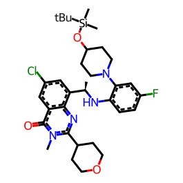 C[C@@H](Nc1ccc(F)cc1N1CCC(O[Si](C)(C)C(C)(C)C)CC1)c1cc(Cl)cc2c(=O)n(C)c(C3CCOCC3)nc12